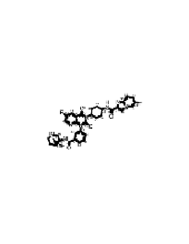 O=C(N[C@H]1CN2CCC1CC2)c1cccc(-n2c(=O)n(C3CCC(NC(=O)c4cn5cc(F)ccc5n4)CC3)c(=O)c3cc(F)cnc32)c1